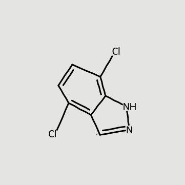 Clc1ccc(Cl)c2[nH]n[c]c12